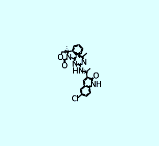 Cc1nc(N[C@@H](C)c2cc3cc(Cl)ccc3[nH]c2=O)nc(N2C(=O)OC[C@@]2(C)c2ccccc2)n1